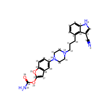 N#Cc1c[nH]c2cccc(CCCN3CCN(c4ccc5oc(OC(N)=O)cc5c4)CC3)c12